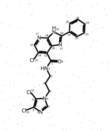 O=C(NCCCn1cnc(Cl)c1Cl)c1c(Cl)cnc2[nH]c(-c3ccccc3)nc12